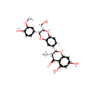 COc1cc([C@H]2Oc3cc([C@@H]4Oc5cc(O)cc(O)c5C(=O)[C@@H]4C)ccc3O[C@H]2CO)ccc1O